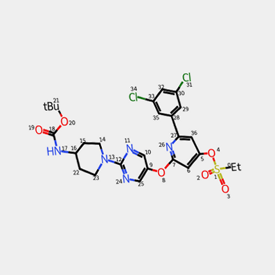 CCS(=O)(=O)Oc1cc(Oc2cnc(N3CCC(NC(=O)OC(C)(C)C)CC3)nc2)nc(-c2cc(Cl)cc(Cl)c2)c1